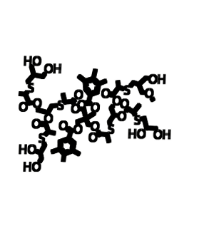 COCC(CO)CSC(C)C(=O)OCC(CSC(C)C(=O)OCC(COC(=O)c1cc(C)c(C)c(C)c1)(COC(=O)c1cc(C)c(C)c(C)c1)COC(=O)C(C)SCC(COC(=O)C(C)SCC(CO)CO)OC(=O)C(C)SCC(O)CO)OC(=O)C(C)SCC(O)CO